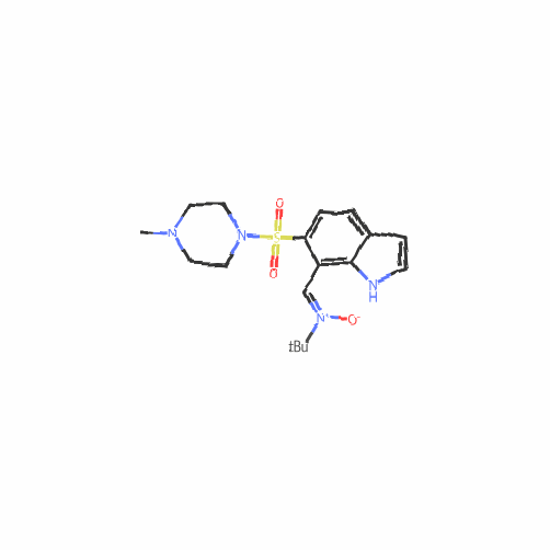 CN1CCN(S(=O)(=O)c2ccc3cc[nH]c3c2/C=[N+](\[O-])C(C)(C)C)CC1